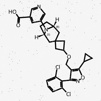 O=C(O)c1cncc(N2[C@@H]3CC[C@H]2CC2(CC(OCc4c(-c5c(Cl)cccc5Cl)noc4C4CC4)C2)C3)c1